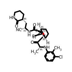 Cc1c(Cl)cccc1N[C@H](C)C(=O)N1[C@@H]2CC[C@H]([C@H]1C(=O)N[C@H](C#N)C[C@H]1CCCNC1=O)C(F)(F)C2